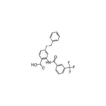 O=C(Nc1cc(CCc2ccccc2)ccc1C(=O)O)c1cccc(C(F)(F)F)c1